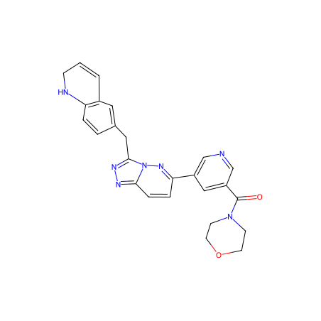 O=C(c1cncc(-c2ccc3nnc(Cc4ccc5c(c4)C=CCN5)n3n2)c1)N1CCOCC1